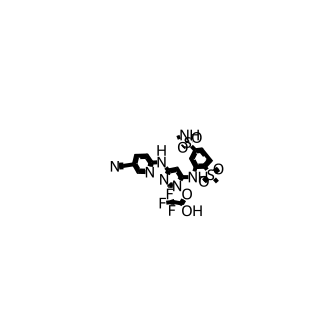 CNS(=O)(=O)c1ccc(S(C)(=O)=O)c(Nc2cc(Nc3ccc(C#N)cn3)ncn2)c1.O=C(O)C(F)(F)F